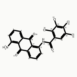 Nc1cccc2c1C(=O)c1cccc(NC(=O)c3cc(Cl)c(Cl)c(Cl)c3Cl)c1C2=O